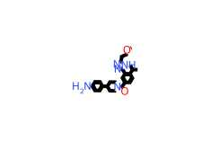 COCCc1nnc(-c2cc(C(=O)N3CCC(c4ccc(N)cc4)CC3)ccc2C(C)C)[nH]1